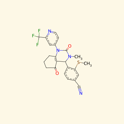 CSc1cc(C#N)ccc1C1C2=C(CCCC2=O)N(c2ccnc(C(F)(F)F)c2)C(=O)N1C